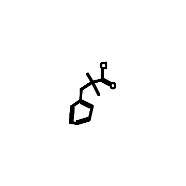 CC(C)(Cc1ccccc1)C(=O)Cl